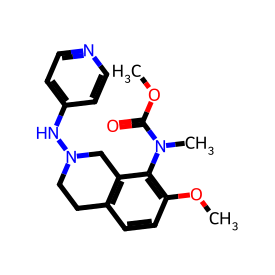 COC(=O)N(C)c1c(OC)ccc2c1CN(Nc1ccncc1)CC2